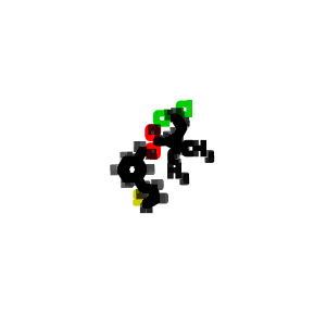 CC1(C)C(C=C(Cl)Cl)C1C(=O)OCc1cccc(-c2cccs2)c1